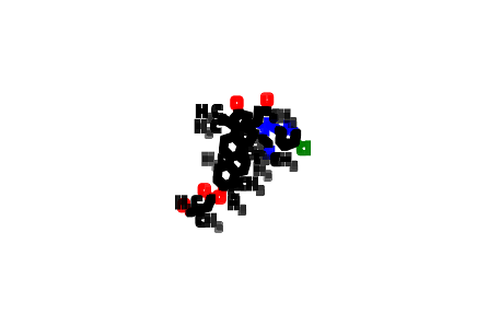 CC(C)C1=C2C3CCC4C5(C)CCC(OC(=O)CC(C)(C)C=O)C(C)(C)C5CCC4(C)[C@]3(C)CCC2(/C(=C/C=O)N(CCN(C)C)N(C)c2ccc(Cl)cn2)CC1=O